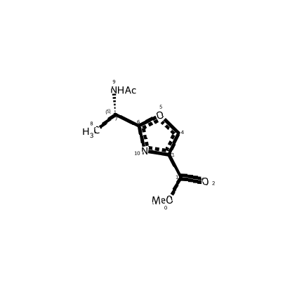 COC(=O)c1coc([C@H](C)NC(C)=O)n1